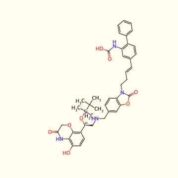 CC(C)(C)[Si](C)(C)O[C@@H](CNCc1ccc2c(c1)oc(=O)n2CCC=Cc1ccc(-c2ccccc2)c(NC(=O)O)c1)c1ccc(O)c2c1OCC(=O)N2